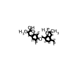 CC(Cc1cc(F)c(OCc2ccc(CF)c3c2OC(C)(C)C3)c(F)c1)C(=O)O